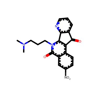 CN(C)CCCn1c2c(c3ccc([N+](=O)[O-])cc3c1=O)C(=O)c1cccnc1-2